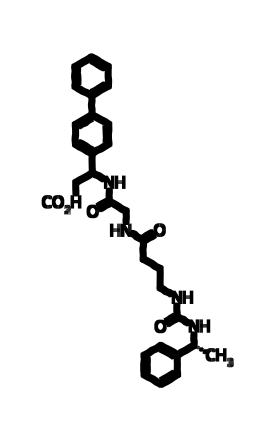 C[C@@H](NC(=O)NCCCC(=O)NCC(=O)NC(CC(=O)O)c1ccc(-c2ccccc2)cc1)c1ccccc1